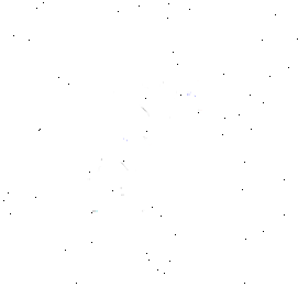 COc1ccc([N+](=O)[O-])cc1C(=O)Nc1ccc(F)c(C)c1